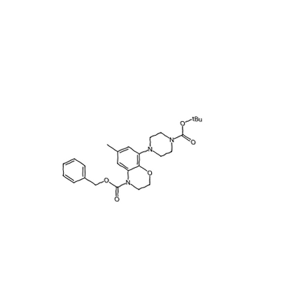 Cc1cc(N2CCN(C(=O)OC(C)(C)C)CC2)c2c(c1)N(C(=O)OCc1ccccc1)CCO2